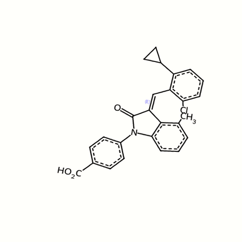 Cc1cccc2c1/C(=C\c1c(Cl)cccc1C1CC1)C(=O)N2c1ccc(C(=O)O)cc1